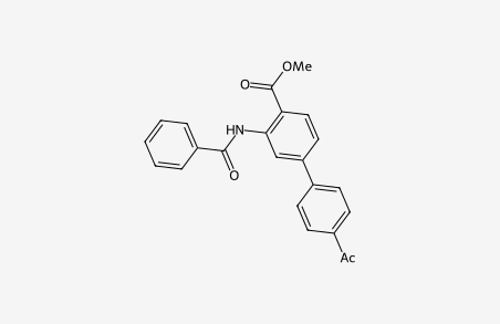 COC(=O)c1ccc(-c2ccc(C(C)=O)cc2)cc1NC(=O)c1ccccc1